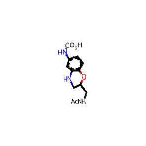 CC(=O)NCC1CNc2cc(NC(=O)O)ccc2O1